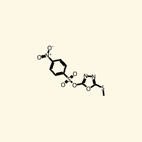 CSc1nnc(OS(=O)(=O)c2ccc([N+](=O)[O-])cc2)o1